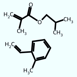 C=C(C)C(=O)OCC(C)C.C=Cc1ccccc1C